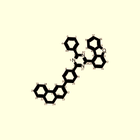 c1ccc(-c2nc(-c3ccc(-c4ccc5c(c4)-c4ccccc4CC5)cc3)nc(-c3cccc4oc5ccccc5c34)n2)cc1